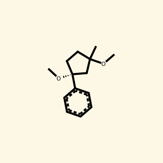 COC1(C)CC[C@](OC)(c2ccccc2)C1